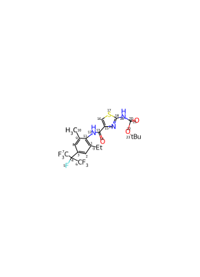 CCc1cc(C(F)(C(F)(F)F)C(F)(F)F)cc(C)c1NC(=O)c1csc(NC(=O)OC(C)(C)C)n1